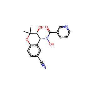 CC1(C)Oc2ccc(C#N)cc2[C@@H](N(O)C(=O)c2cccnc2)[C@@H]1O